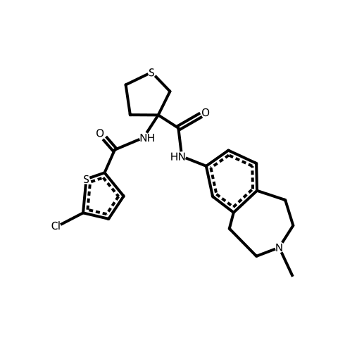 CN1CCc2ccc(NC(=O)C3(NC(=O)c4ccc(Cl)s4)CCSC3)cc2CC1